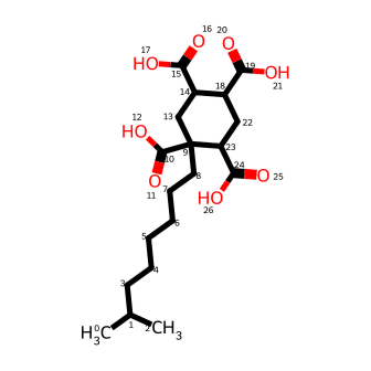 CC(C)CCCCCCC1(C(=O)O)CC(C(=O)O)C(C(=O)O)CC1C(=O)O